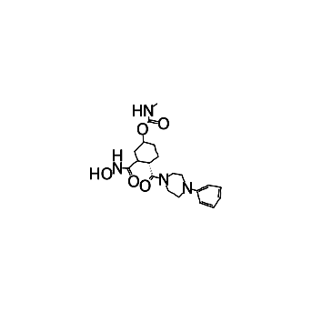 CNC(=O)OC1CC[C@H](C(=O)N2CCN(c3ccccc3)CC2)C(C(=O)NO)C1